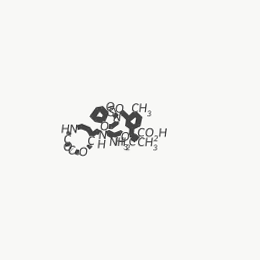 Cc1ccc(C(OC/C(N)=C/NCC2CCNCCOCCOCC2)C(C)(C)C(=O)O)cc1CN1CCOc2ccccc2S1(=O)=O